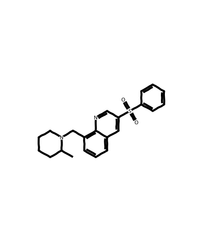 CC1CCCCN1Cc1cccc2cc(S(=O)(=O)c3ccccc3)cnc12